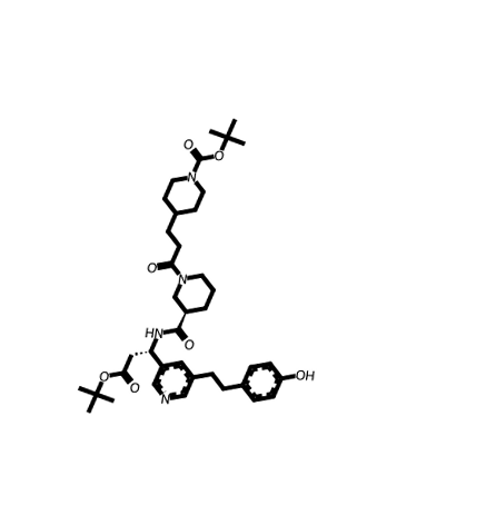 CC(C)(C)OC(=O)C[C@H](NC(=O)[C@@H]1CCCN(C(=O)CCC2CCN(C(=O)OC(C)(C)C)CC2)C1)c1cncc(CCc2ccc(O)cc2)c1